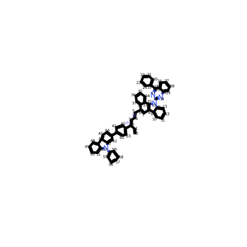 C=C/C(=C\C=C\c1cc2c3ccccc3n(-c3nc(-c4ccccc4)c4ccccc4n3)c2c2ccccc12)c1ccc(-c2ccc3c4ccccc4n(-c4ccccc4)c3c2)cc1